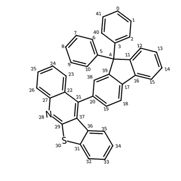 c1ccc(C2(c3ccccc3)c3ccccc3-c3ccc(-c4c5ccccc5nc5sc6ccccc6c45)cc32)cc1